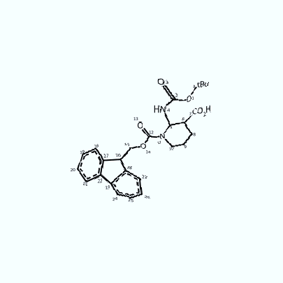 CC(C)(C)OC(=O)NC1C(C(=O)O)CCCN1C(=O)OCC1c2ccccc2-c2ccccc21